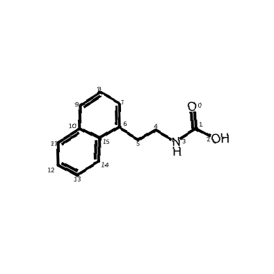 O=C(O)NCCc1cccc2ccccc12